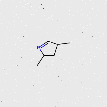 CC1C=NC(C)C1